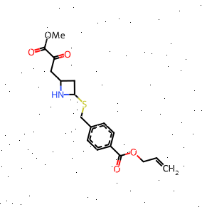 C=CCOC(=O)c1ccc(CSC2CC(CC(=O)C(=O)OC)N2)cc1